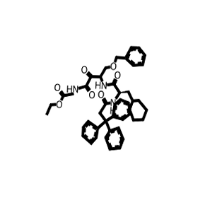 CCOC(=O)CNC(=O)C(=O)C(COCc1ccccc1)NC(=O)[C@@H](CC1CCCCC1)NC(=O)CC(c1ccccc1)(c1ccccc1)c1ccccc1